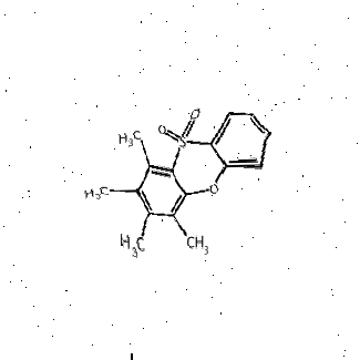 Cc1c(C)c(C)c2c(c1C)Oc1ccccc1S2(=O)=O